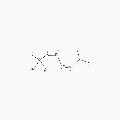 CC(C)/C=C\N=C/C(C)(C)C